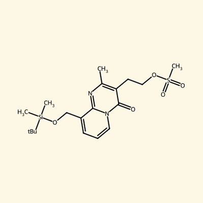 Cc1nc2c(CO[Si](C)(C)C(C)(C)C)cccn2c(=O)c1CCOS(C)(=O)=O